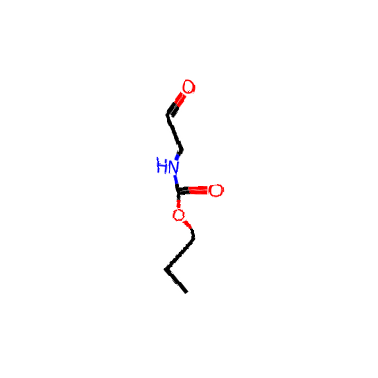 CCCOC(=O)NCC=O